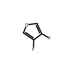 Fc1[c]occ1F